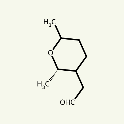 CC1CCC(CC=O)[C@H](C)O1